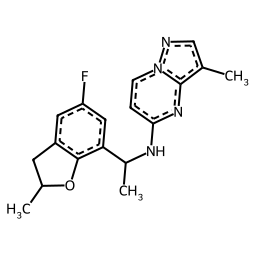 Cc1cnn2ccc(NC(C)c3cc(F)cc4c3OC(C)C4)nc12